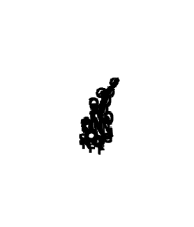 COCCOC(=O)OCOc1c2n(ccc1=O)N(C1c3ccccc3-c3scnc3-c3c1ccc(F)c3F)C1COCCN1C2=O